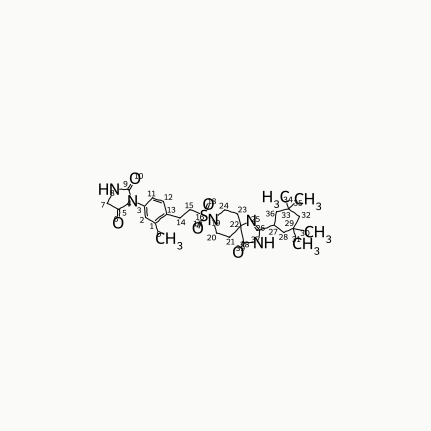 Cc1cc(N2C(=O)CNC2=O)ccc1CCS(=O)(=O)N1CCC2(CC1)N=C(C1CC(C)(C)CC(C)(C)C1)NC2=O